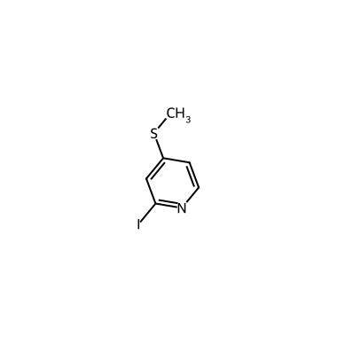 CSc1ccnc(I)c1